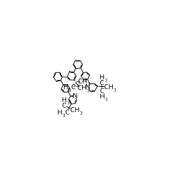 CC(C)(C)c1ccnc(-c2ccc(-c3ccccc3-c3cc(-c4ccccc4-c4ccc(-c5cc(C(C)(C)C)ccn5)cc4)cc(S(C)(C)C)c3)cc2)c1